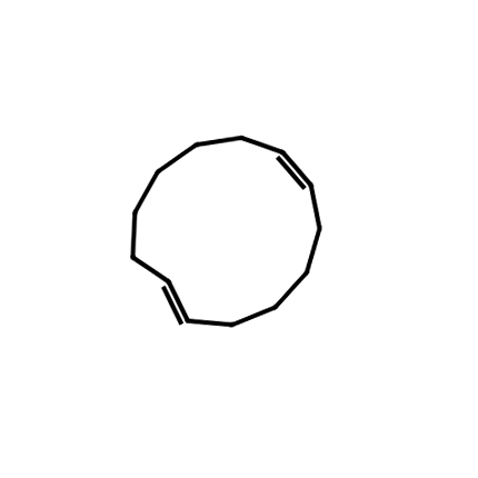 C1=C\CCCCC/C=C/CCCC/1